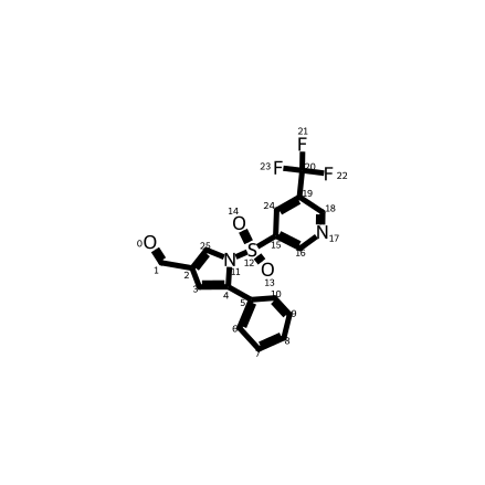 O=Cc1cc(-c2ccccc2)n(S(=O)(=O)c2cncc(C(F)(F)F)c2)c1